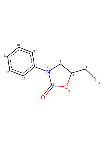 O=C1OC(CI)CN1c1ccccc1